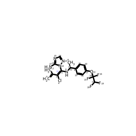 C=C(C)/C(Cl)=C(/N[C@@H](C)c1ccc(OC(F)(F)C(F)F)cc1)n1ncnc1N